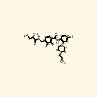 CC(C)C[C@H](O)C(=O)NCc1ccc(C(=O)Nc2ccc(Cl)cc2N2CCN(CCC(F)(F)F)CC2)c(F)c1F